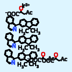 CC(=O)CC(=O)C(=O)[O-].CC(=O)CC(=O)C(=O)[O-].CC(=O)CC(=O)C(=O)[O-].CC1(C)c2ccccc2-c2ccc(-c3nccc4ccccc34)cc21.CC1(C)c2ccccc2-c2ccc(-c3nccc4ccccc34)cc21.CC1(C)c2ccccc2-c2ccc(-c3nccc4ccccc34)cc21.[Ir+3]